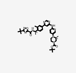 Cc1cc(-c2cc(Nc3ccc(N4CCN(C(=O)OC(C)(C)C)C[C@@H]4C)cn3)ncn2)ccc1[C@@H](C)NC(=O)c1nc(C(C)(C)C)no1